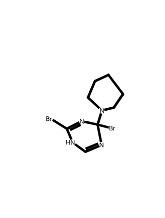 BrC1=NC(Br)(N2CCCCC2)N=CN1